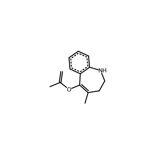 C=C(C)OC1=C(C)CCNc2ccccc21